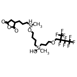 C[SiH](CCCC1CC(=O)OC1=O)OCCCC[Si](C)(O)CCCOCC(F)(C(F)(F)F)C(F)(F)C(F)(F)F